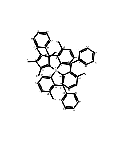 CC1=C(C)C(C)C([Si](c2cccc(C)c2Cc2ccccc2)(c2cccc(C)c2Cc2ccccc2)c2cccc(C)c2Cc2ccccc2)=C1C